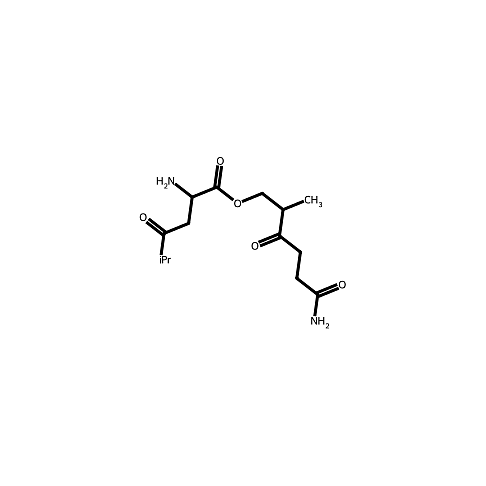 CC(C)C(=O)CC(N)C(=O)OCC(C)C(=O)CCC(N)=O